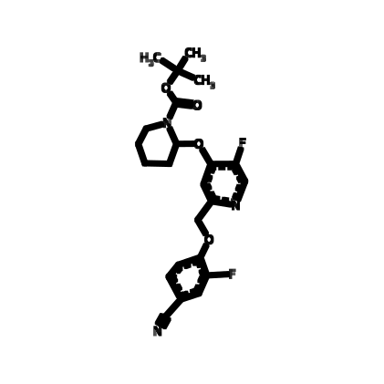 CC(C)(C)OC(=O)N1CCCCC1Oc1cc(COc2ccc(C#N)cc2F)ncc1F